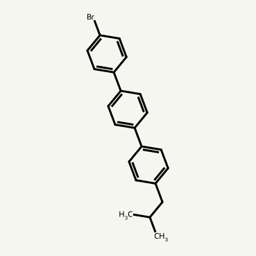 CC(C)Cc1ccc(-c2ccc(-c3ccc(Br)cc3)cc2)cc1